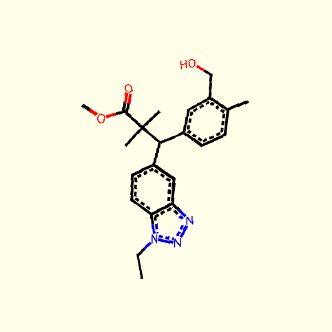 CCn1nnc2cc(C(c3ccc(C)c(CO)c3)C(C)(C)C(=O)OC)ccc21